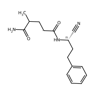 CC(C[CH]C(=O)N[C@H](C#N)CCc1ccccc1)C(N)=O